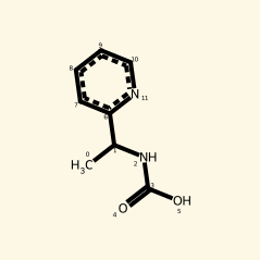 CC(NC(=O)O)c1ccccn1